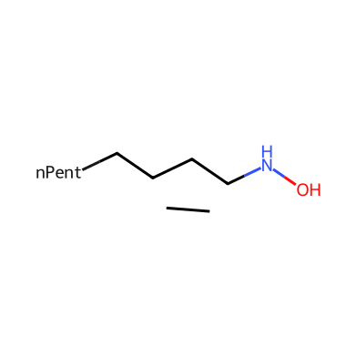 CC.CCCCCCCCCNO